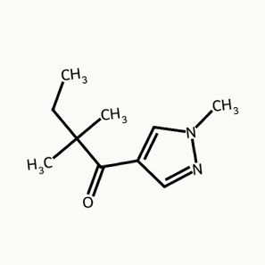 CCC(C)(C)C(=O)c1cnn(C)c1